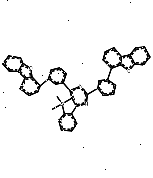 C[Si]1(C)c2ccccc2-c2nc(-c3cccc(-c4cccc5c4oc4ccccc45)c3)nc(-c3cccc(-c4cccc5c4oc4ccccc45)c3)c21